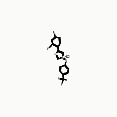 Cl.Fc1ccc(C2=CS(=Nc3ccc(C(F)(F)F)cc3)C=N2)c(F)c1